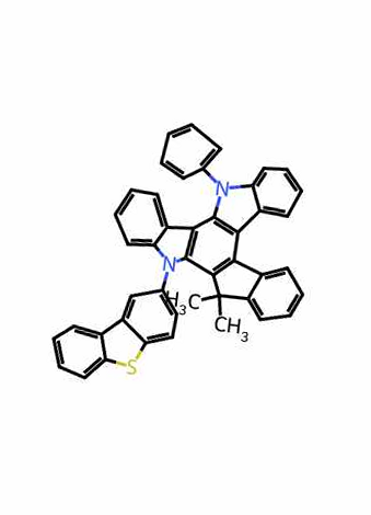 CC1(C)c2ccccc2-c2c1c1c(c3ccccc3n1-c1ccc3sc4ccccc4c3c1)c1c2c2ccccc2n1-c1ccccc1